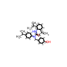 CC(C)c1ccc(N(Cc2ccc(O)cc2)C(=O)Nc2c(C(C)C)cccc2C(C)C)cc1